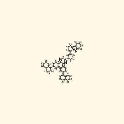 c1cc(-c2cnc3c4ccc(-c5cccc6ccccc56)cc4c4cc(-c5cccc6ccccc56)ccc4c3n2)cc(-c2cccc3c2sc2ccccc23)c1